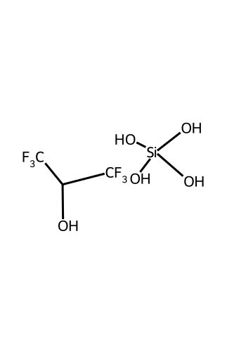 OC(C(F)(F)F)C(F)(F)F.O[Si](O)(O)O